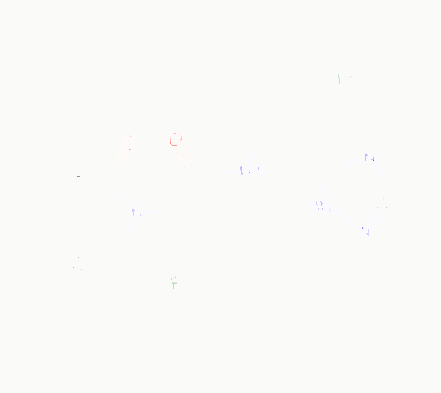 O=C(Cn1c(=O)ccc2cccc(F)c21)Nc1scc(Br)c1-c1ncn[nH]1